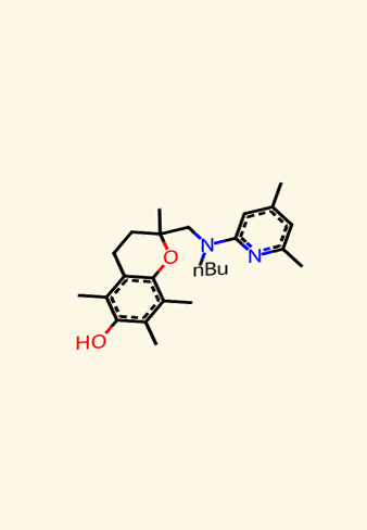 CCCCN(CC1(C)CCc2c(C)c(O)c(C)c(C)c2O1)c1cc(C)cc(C)n1